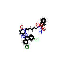 O=C(CCCCCCN1C(=O)CCc2nc(-c3ccc(Cl)cc3)c(-c3ccc(Cl)cc3)nc21)NS(=O)(=O)Cc1ccccc1